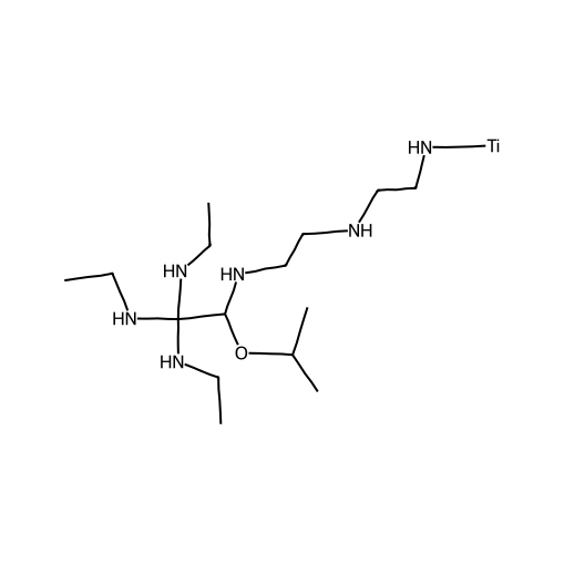 CCNC(NCC)(NCC)C(NCCNCC[NH][Ti])OC(C)C